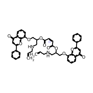 C=CCNCC(COc1cccc2c(=O)cc(-c3ccccc3)oc12)OC(=O)/C=C\C(=O)OC(CNCC=C)COc1cccc2c(=O)cc(-c3ccccc3)oc12